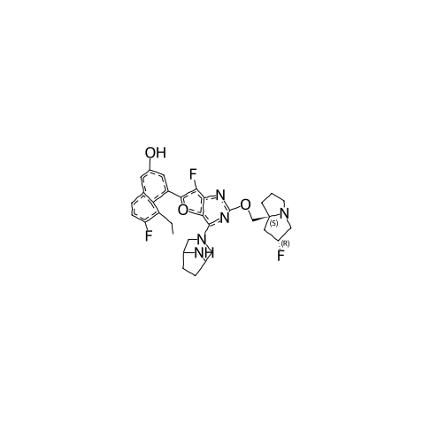 CCc1c(F)ccc2cc(O)cc(-c3oc4c(N5CC6CCC(C5)N6)nc(OC[C@@]56CCCN5C[C@H](F)C6)nc4c3F)c12